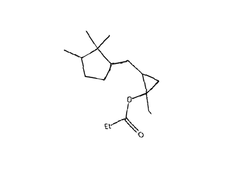 CCC(=O)OC1(C)CC1CC1CCC(C)C1(C)C